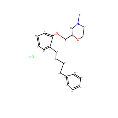 CN1CCOC(COc2ccccc2CCCCc2ccccc2)C1.Cl